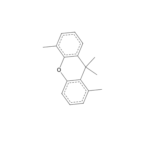 Cc1cccc2c1Oc1cccc(C)c1C2(C)C